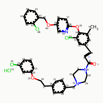 Cc1cc(/C=C/C(=O)N2CCN(Cc3ccc(CCOc4cccc(Cl)c4)cc3)CC2)cc(Cl)c1Oc1ccc(OCc2ccccc2Cl)cn1.Cl